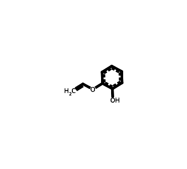 C=COc1ccccc1O